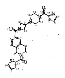 O=C(c1ccc2c(c1)CCN(C(=O)c1cccs1)C2)N1CC(N2CCN(C(=O)c3nccs3)CC2)C1